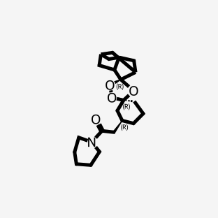 O=C(C[C@@H]1CCC[C@]2(C1)OO[C@]1(O2)C2CC3CC(C2)C1C3)N1CCCCC1